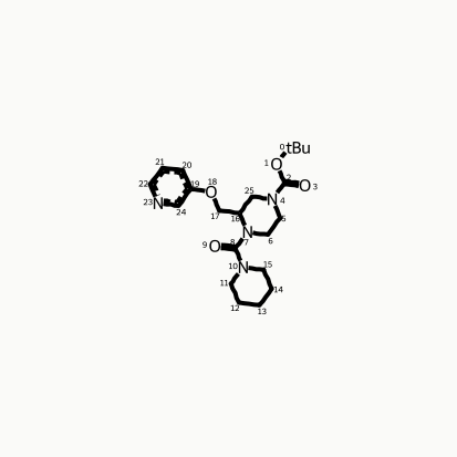 CC(C)(C)OC(=O)N1CCN(C(=O)N2CCCCC2)C(COc2cccnc2)C1